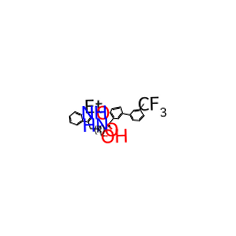 CCOc1ccc(-c2cccc(C(F)(F)F)c2)cc1C(=O)N[C@@H](CO)Cc1c[nH]c2ccccc12